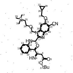 CC(C)(C)OC(=O)CC(=N)C(=O)c1ccccc1NCc1nc2cc(C#N)c(OCC3CC3)cc2n1COCC[Si](C)(C)C